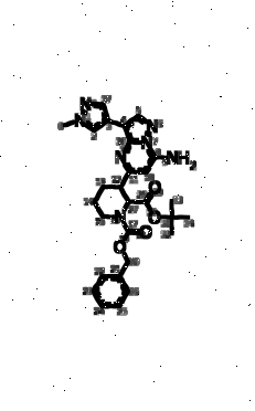 Cn1cc(-c2cnn3c(N)cc(C4CCCN(C(=O)OCc5ccccc5)C4C(=O)OC(C)(C)C)nc23)cn1